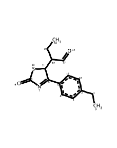 CCc1ccc(C2=NC(=O)SC2C(C=O)CC)cc1